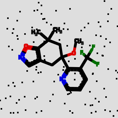 COC1(c2ncccc2C(F)(F)F)Cc2cnoc2C(C)(C)C1